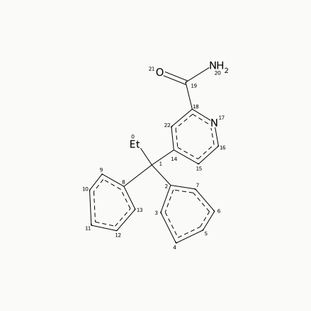 CCC(c1ccccc1)(c1ccccc1)c1ccnc(C(N)=O)c1